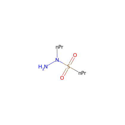 CCCN(N)S(=O)(=O)CCC